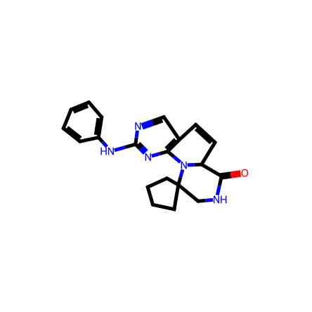 O=C1NCC2(CCCC2)N2c3nc(Nc4ccccc4)ncc3C=CC12